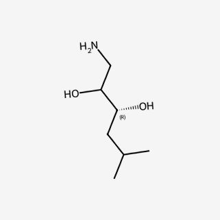 CC(C)C[C@@H](O)C(O)CN